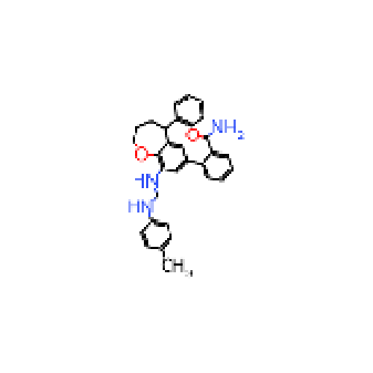 Cc1ccc(NCNc2cc(-c3ccccc3C(N)=O)cc3c2OCCCC3c2ccccc2)cc1